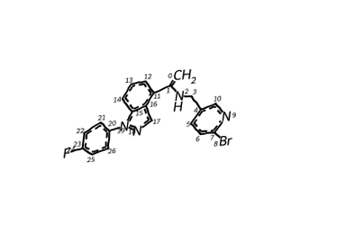 C=C(NCc1ccc(Br)nc1)c1cccc2c1cnn2-c1ccc(F)cc1